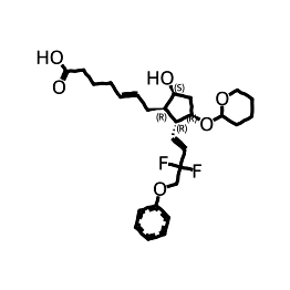 O=C(O)CCCC=CC[C@@H]1[C@@H](C=CC(F)(F)COc2ccccc2)[C@H](OC2CCCCO2)C[C@@H]1O